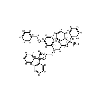 CC(C)(C)[Si](OCCN(CCO[Si](c1ccccc1)(c1ccccc1)C(C)(C)C)c1cccc(OCc2ccccc2)c1)(c1ccccc1)c1ccccc1